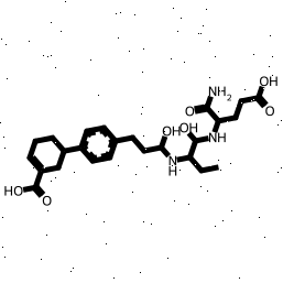 CCC(NC(O)CCc1ccc(C2CCC=C(C(=O)O)C2)cc1)C(O)NC(CCC(=O)O)C(N)=O